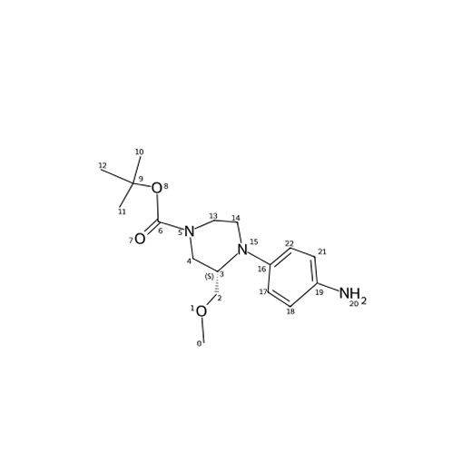 COC[C@@H]1CN(C(=O)OC(C)(C)C)CCN1c1ccc(N)cc1